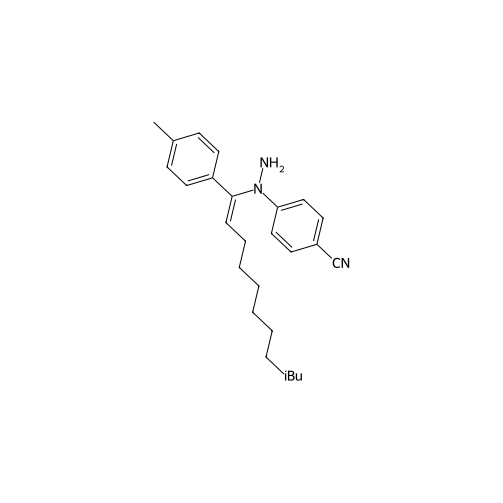 CCC(C)CCCCCC/C=C(/c1ccc(C)cc1)N(N)c1ccc(C#N)cc1